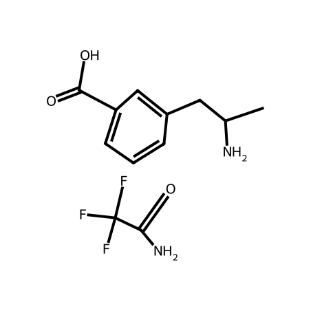 CC(N)Cc1cccc(C(=O)O)c1.NC(=O)C(F)(F)F